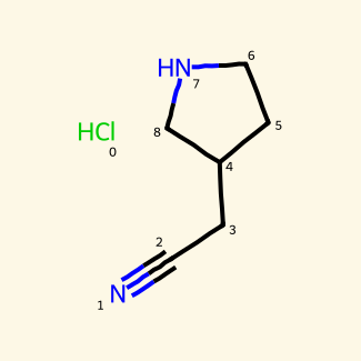 Cl.N#CCC1CCNC1